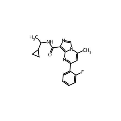 Cc1cc(-c2ccccc2F)nc2c(C(=O)NC(C)C3CC3)ncn12